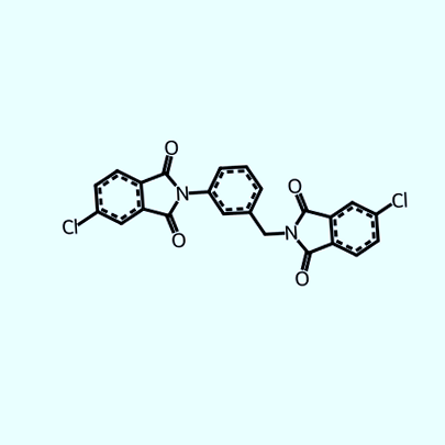 O=C1c2ccc(Cl)cc2C(=O)N1Cc1cccc(N2C(=O)c3ccc(Cl)cc3C2=O)c1